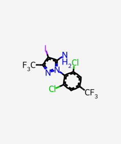 Nc1c(I)c(C(F)(F)F)nn1-c1c(Cl)cc(C(F)(F)F)cc1Cl